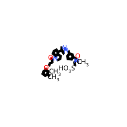 Cc1cccc(OCCCC(=O)N2CCCc3c(-c4cnn(Cc5cccc(C(=O)N(C)CCS(=O)(=O)O)c5)c4)cccc32)c1C